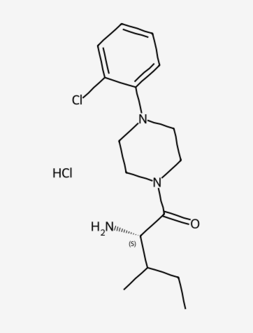 CCC(C)[C@H](N)C(=O)N1CCN(c2ccccc2Cl)CC1.Cl